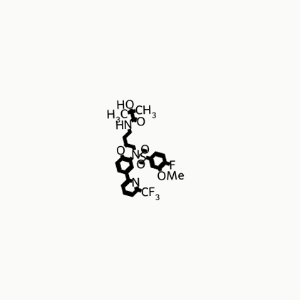 COc1cc(S(=O)(=O)N2CC(CCNC(=O)C(C)(C)O)Oc3ccc(-c4cccc(C(F)(F)F)n4)cc32)ccc1F